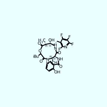 CCC(C)C1OC(=O)[C@H](C)[C@H](O)[C@H](Cc2c(F)nc(F)c(F)c2F)NC(=O)[C@@H](NC(=O)c2ccccc2O)[C@@H](C)NC1=O